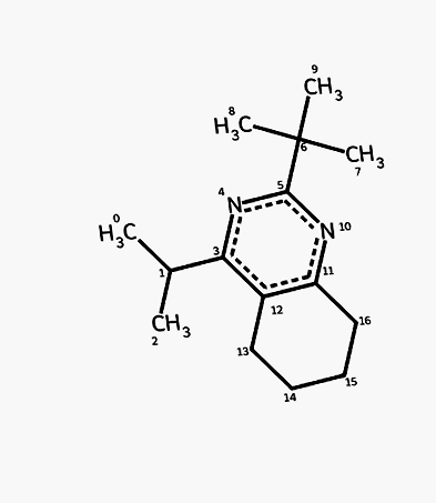 CC(C)c1nc(C(C)(C)C)nc2c1CCCC2